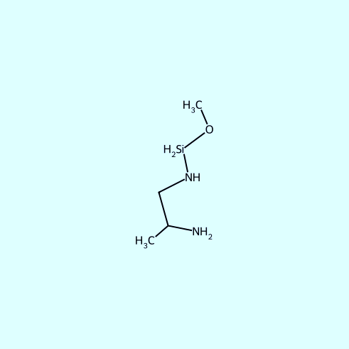 CO[SiH2]NCC(C)N